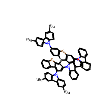 CC(C)(C)c1ccc2c(c1)c1cc(C(C)(C)C)ccc1n2-c1ccc2c(c1)Sc1cc(-n3c4ccccc4c4ccccc43)cc3c1B2c1c(cc(-n2c4ccc(C(C)(C)C)cc4c4cc(C(C)(C)C)ccc42)c2c1sc1ccccc12)N3c1ccccc1-c1ccccc1